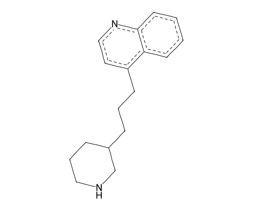 c1ccc2c(CCCC3CCCNC3)ccnc2c1